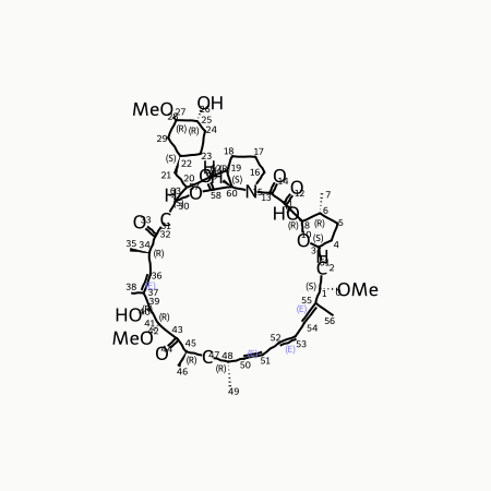 CO[C@H]1C[C@@H]2CC[C@@H](C)[C@@](O)(O2)C(=O)C(=O)N2CCC[C@@H]3C(C[C@@H]4CC[C@@H](O)[C@H](OC)C4)[C@H](CC(=O)[C@H](C)/C=C(\C)[C@@H](O)[C@@H](OC)C(=O)[C@H](C)C[C@@H](C)/C=C/C=C/C=C/1C)OC(=O)[C@H]32